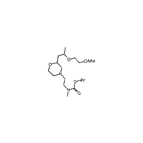 COCCOC(C)CC1CN(CCN(C)C(=O)OC(C)C)CCO1